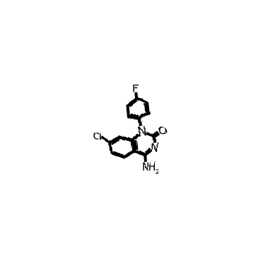 Nc1nc(=O)n(-c2ccc(F)cc2)c2cc(Cl)ccc12